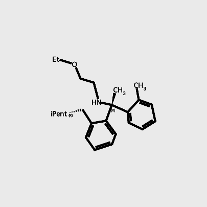 CCC[C@@H](C)Cc1ccccc1[C@](C)(NCCOCC)c1ccccc1C